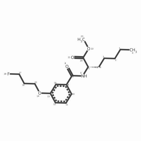 CCCCC[C@H](NC(=O)c1cccc(OCCCF)c1)C(=O)OC